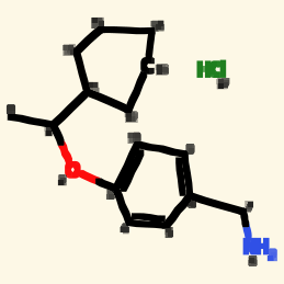 CC(Oc1ccc(CN)cc1)C1CCCCC1.Cl